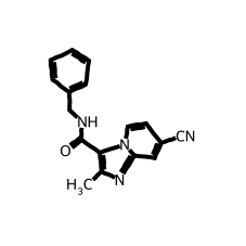 Cc1nc2cc(C#N)ccn2c1C(=O)NCc1ccccc1